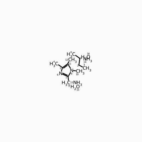 CCCC.Cc1nc(C)n(C)c1C.N.N.O.O